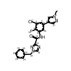 Cn1cc(-c2cc(Cl)c(F)c(NC(=O)c3ncn(Cc4ccccc4)n3)c2)cn1